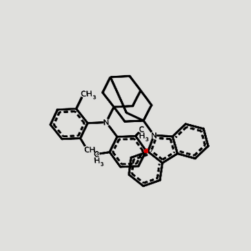 Cc1cccc(C)c1N(c1c(C)cccc1C)C12CC3CC(C1)CC(n1c4ccccc4c4ccccc41)(C3)C2